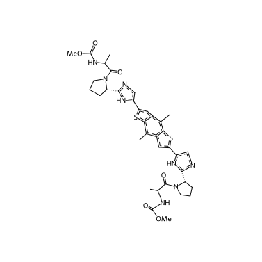 COC(=O)NC(C)C(=O)N1CCC[C@H]1c1ncc(-c2cc3c(C)c4sc(-c5cnc([C@@H]6CCCN6C(=O)C(C)NC(=O)OC)[nH]5)cc4c(C)c3s2)[nH]1